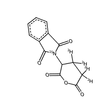 [2H]C1([2H])C(=O)OC(=O)C([15N]2C(=O)c3ccccc3C2=O)C1([2H])[2H]